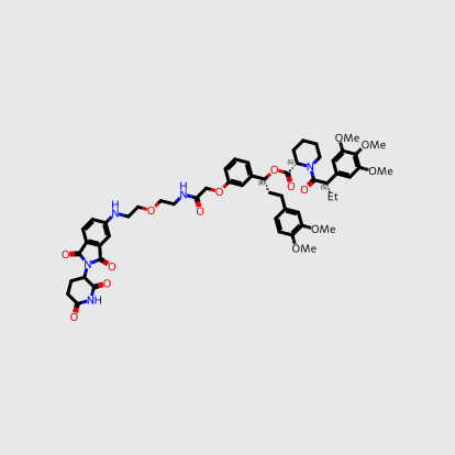 CC[C@H](C(=O)N1CCCC[C@H]1C(=O)O[C@H](CCc1ccc(OC)c(OC)c1)c1cccc(OCC(=O)NCCOCCNc2ccc3c(c2)C(=O)N(C2CCC(=O)NC2=O)C3=O)c1)c1cc(OC)c(OC)c(OC)c1